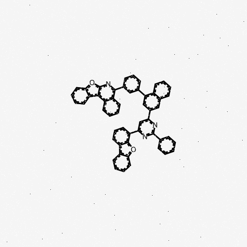 c1ccc(-c2nc(-c3cc(-c4cccc(-c5nc6oc7ccccc7c6c6ccccc56)c4)c4ccccc4c3)cc(-c3cccc4c3oc3ccccc34)n2)cc1